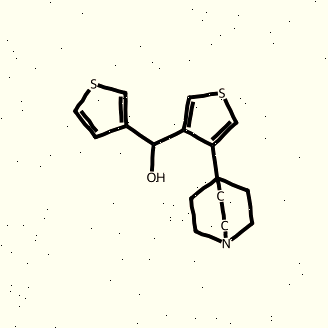 OC(c1ccsc1)c1cscc1C12CCN(CC1)CC2